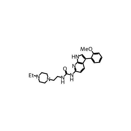 CCN1CCN(CCNC(=O)Nc2ccc3c(-c4ccccc4OC)c[nH]c3n2)CC1